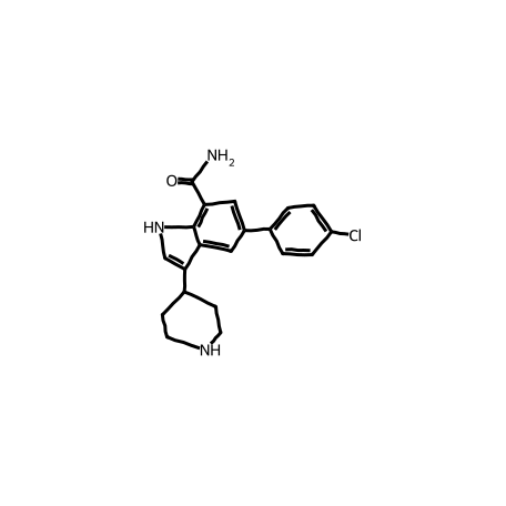 NC(=O)c1cc(-c2ccc(Cl)cc2)cc2c(C3CCNCC3)c[nH]c12